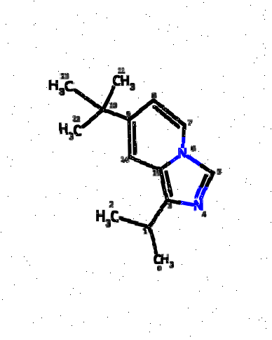 CC(C)c1ncn2ccc(C(C)(C)C)cc12